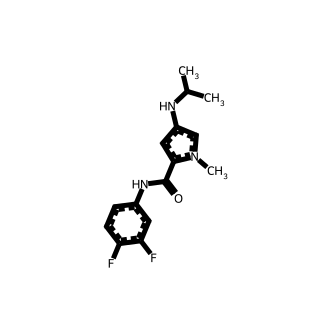 CC(C)Nc1cc(C(=O)Nc2ccc(F)c(F)c2)n(C)c1